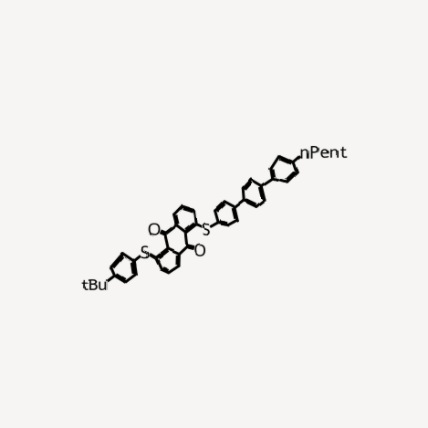 CCCCCc1ccc(-c2ccc(-c3ccc(Sc4cccc5c4C(=O)c4cccc(Sc6ccc(C(C)(C)C)cc6)c4C5=O)cc3)cc2)cc1